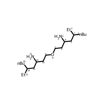 CCCCC(CC)CC(N)CCOCCC(N)CC(CC)CCCC